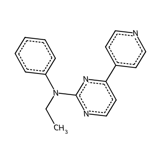 CCN(c1ccccc1)c1nccc(-c2ccncc2)n1